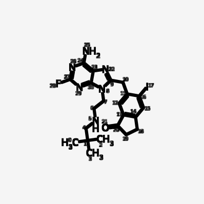 CC(C)(C)CNCCn1c(Cc2cc3c(cc2I)CCC3=O)nc2c(N)nc(F)nc21